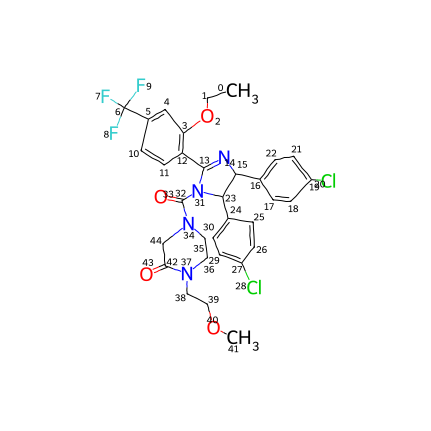 CCOc1cc(C(F)(F)F)ccc1C1=NC(c2ccc(Cl)cc2)C(c2ccc(Cl)cc2)N1C(=O)N1CCN(CCOC)C(=O)C1